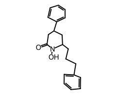 O=C1CC(c2ccccc2)CC(CCCc2ccccc2)N1O